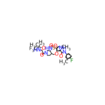 Cc1cc(NC(=O)c2c3c(cn2C)S(=O)(=O)NC2CN(C(=O)C(=O)NC(C)(C)C(F)(F)F)CCC2CO3)ccc1F